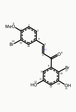 COc1ccc(/C=C/C(=O)c2cc(O)cc(O)c2Br)cc1Br